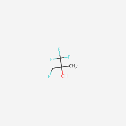 [CH2]C(O)(CF)C(F)(F)F